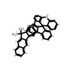 CC1(C)c2cc(-c3cccc4c3C3(c5ccccc5O4)c4ccccc4-c4ccccc43)ccc2-c2cc3ccccc3cc21